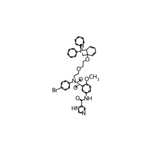 COc1ccc(NC(=O)c2cnc[nH]2)cc1S(=O)(=O)N(CCOCCOC12C=CC=CC1[PH](c1ccccc1)(c1ccccc1)C2)c1ccc(Br)cc1